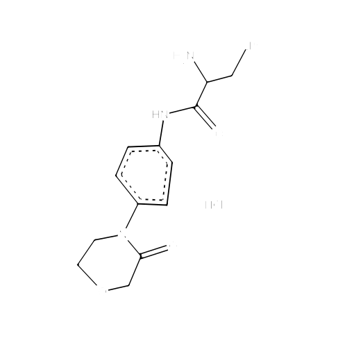 CC(C)CC(N)C(=O)Nc1ccc(N2CCOCC2=O)cc1.Cl